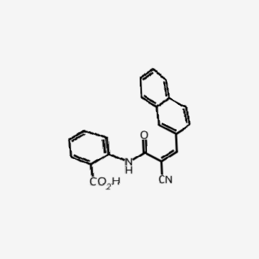 N#CC(=Cc1ccc2ccccc2c1)C(=O)Nc1ccccc1C(=O)O